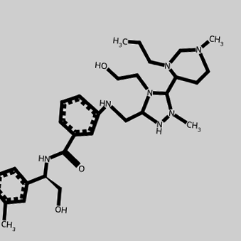 CCCN1CN(C)CCC1C1N(C)NC(CNc2cccc(C(=O)N[C@@H](CO)c3cccc(C)c3)c2)N1CCO